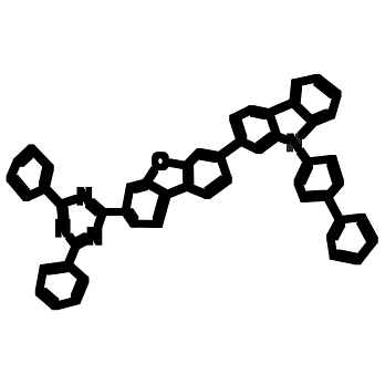 c1ccc(-c2ccc(-n3c4ccccc4c4ccc(-c5ccc6c(c5)oc5cc(-c7nc(-c8ccccc8)nc(-c8ccccc8)n7)ccc56)cc43)cc2)cc1